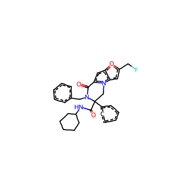 O=C1c2cc3oc(CF)cc3n2CC(C(=O)NC2CCCCC2)(c2ccccc2)N1Cc1ccccc1